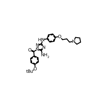 CC(C)(C)Oc1ccc(C(=O)n2nc(Nc3ccc(OCCCN4CCCC4)cc3)nc2N)cc1